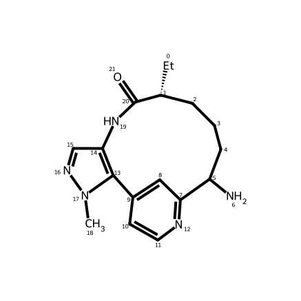 CC[C@@H]1CCCC(N)c2cc(ccn2)-c2c(cnn2C)NC1=O